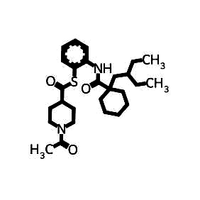 CCC(CC)CC1(C(=O)Nc2ccccc2SC(=O)C2CCN(C(C)=O)CC2)CCCCC1